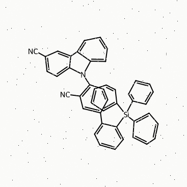 N#Cc1ccc2c(c1)c1ccccc1n2-c1ccc(-c2ccccc2[Si](c2ccccc2)(c2ccccc2)c2ccccc2)cc1C#N